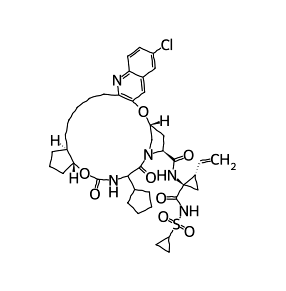 C=C[C@@H]1C[C@]1(NC(=O)[C@@H]1C[C@@H]2CN1C(=O)C(C1CCCC1)NC(=O)O[C@@H]1CCC[C@H]1CCCCCc1nc3ccc(Cl)cc3cc1O2)C(=O)NS(=O)(=O)C1CC1